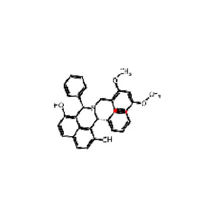 COc1ccc(CN2[C@H](c3ccccc3)c3c(O)ccc4ccc(O)c(c34)[C@H]2c2ccccc2)c(OC)c1